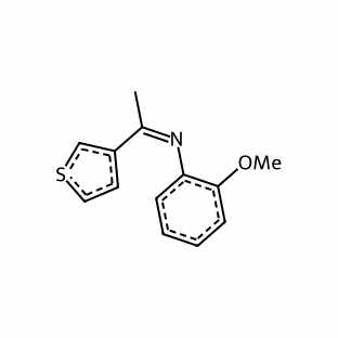 COc1ccccc1N=C(C)c1ccsc1